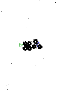 Brc1cccc2c1C1C=CC=CC1C21c2ccccc2-c2c(-c3ccc(-n4c(-c5ccccc5)nc5ccccc54)cc3)cccc21